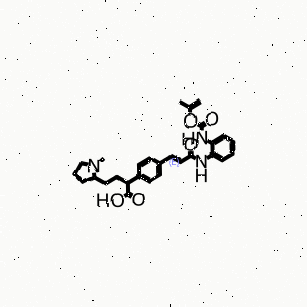 C=C(C)OC(=O)Nc1ccccc1NC(=O)/C=C/c1ccc(C(CCC2CCCN2C)C(=O)O)cc1